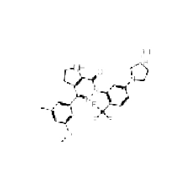 COc1cc(C)cc(-c2nn(-c3cc(N4CC[C@@H](O)C4)ccc3C(F)(F)F)c(=O)c3c2CCN3)c1